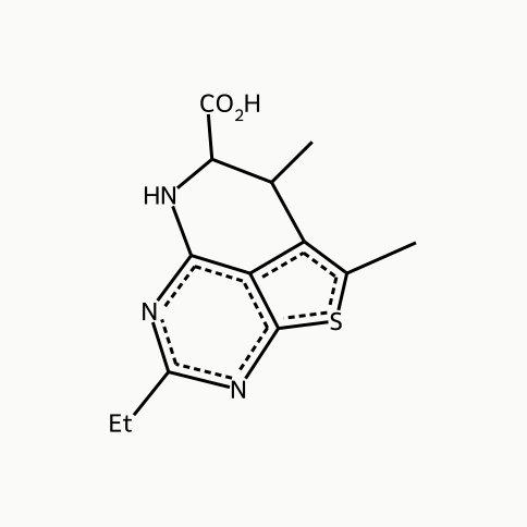 CCc1nc2c3c(c(C)sc3n1)C(C)C(C(=O)O)N2